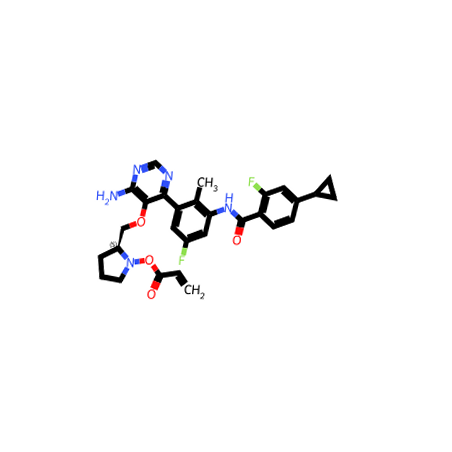 C=CC(=O)ON1CCC[C@H]1COc1c(N)ncnc1-c1cc(F)cc(NC(=O)c2ccc(C3CC3)cc2F)c1C